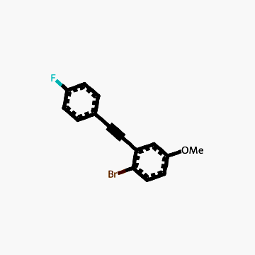 COc1ccc(Br)c(C#Cc2ccc(F)cc2)c1